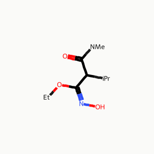 CCOC(=NO)C(C(=O)NC)C(C)C